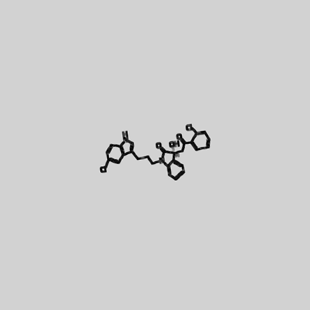 O=C(C[C@]1(O)C(=O)N(CCCc2c[nH]c3ccc(Cl)cc23)c2ccccc21)c1ccccc1Cl